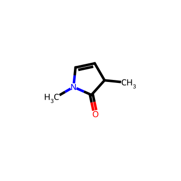 CC1C=CN(C)C1=O